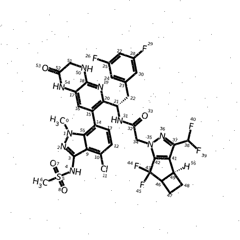 Cn1nc(NS(C)(=O)=O)c2c(Cl)ccc(-c3cc4c(nc3[C@H](Cc3cc(F)cc(F)c3)NC(=O)Cn3nc(C(F)F)c5c3C(F)(F)C3CC[C@H]53)NCC(=O)N4)c21